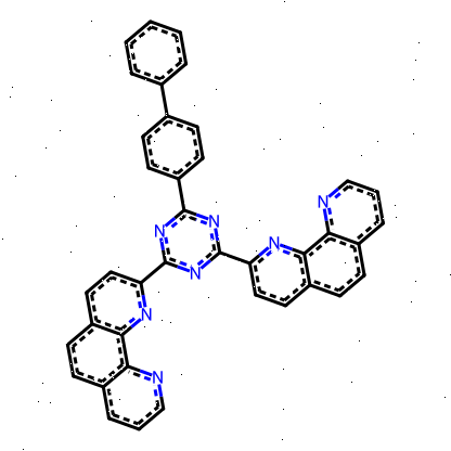 c1ccc(-c2ccc(-c3nc(-c4ccc5ccc6cccnc6c5n4)nc(-c4ccc5ccc6cccnc6c5n4)n3)cc2)cc1